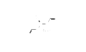 O=COS(=O)OC=O.[NaH]